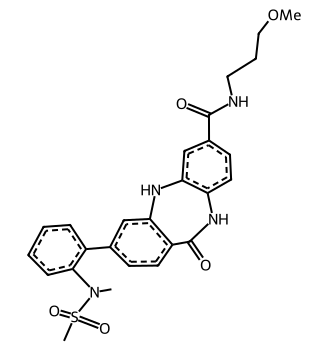 COCCCNC(=O)c1ccc2c(c1)Nc1cc(-c3ccccc3N(C)S(C)(=O)=O)ccc1C(=O)N2